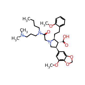 CCCCN(CCCN(C)C)C(=O)CN1C[C@H](c2cc(OC)c3c(c2)OCO3)[C@@H](C(=O)O)[C@@H]1CCc1ccccc1OC